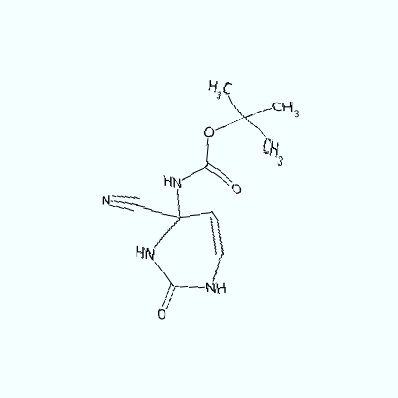 CC(C)(C)OC(=O)NC1(C#N)C=CNC(=O)N1